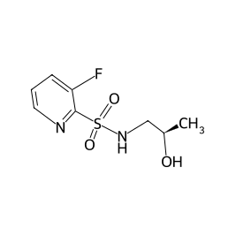 C[C@@H](O)CNS(=O)(=O)c1ncccc1F